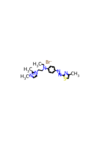 CCN(CCn1cc[n+](C)c1C)c1ccc(/N=N/c2nc(C)cs2)cc1.[Br-]